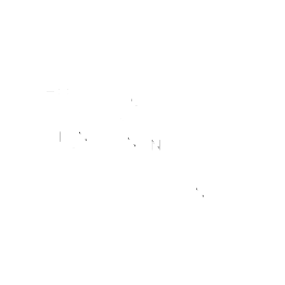 NC(CO)C(=O)N/N=C/c1ccccn1